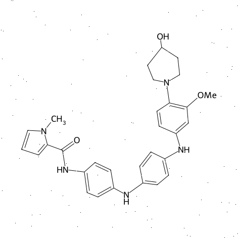 COc1cc(Nc2ccc(Nc3ccc(NC(=O)c4cccn4C)cc3)cc2)ccc1N1CCC(O)CC1